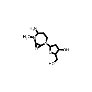 CN1C(N)CCN(C2CC(O)C(CO)O2)C2OC21